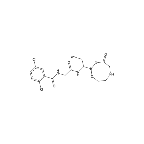 CC(C)CC(NC(=O)CNC(=O)c1cc(Cl)ccc1Cl)B1OCCNCC(=O)O1